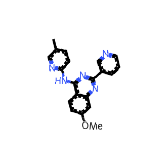 COc1ccc2c(Nc3ccc(C)cn3)nc(-c3cccnc3)nc2c1